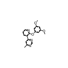 COc1cc(OC)cc(Oc2ncccc2-c2cc(C)ncn2)c1